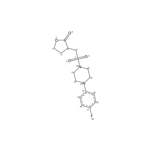 O=C1OCCC1CS(=O)(=O)N1CCN(c2ccc(F)cc2)CC1